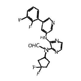 O=CN(c1nccnc1Nc1cncc(-c2cccc(F)c2F)c1)C1CCC(F)(F)C1